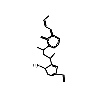 C=CC1=CCC(N)C(C(C)CC(C)c2ccc/c(=C/C=C\C)c2=C)=C1